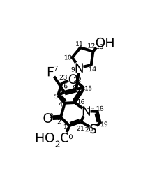 O=C(O)c1c(=O)c2c3c(F)c(N4CCC(O)C4)c(c2n2ccsc12)OC3